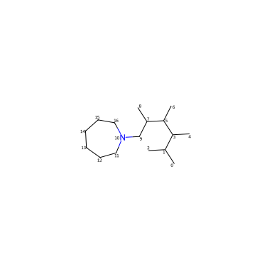 CC(C)C(C)C(C)C(C)CN1CCCCCC1